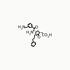 NCc1cccc(C(=O)C(N)[C@@H]2C[C@@H](CC(=O)O)C(=O)N2CCCc2ccccc2)c1